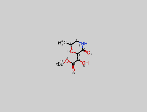 CC1CNC(=O)C(C(O)C(=O)OC(C)(C)C)O1